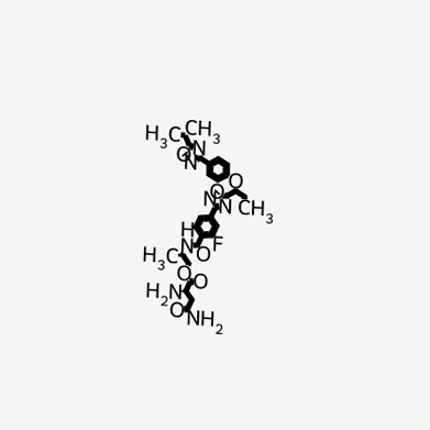 CCC(Oc1ccc(-c2noc(C(C)C)n2)cc1)c1nc(-c2ccc(C(=O)N[C@H](C)COC(=O)[C@@H](N)CC(N)=O)c(F)c2)no1